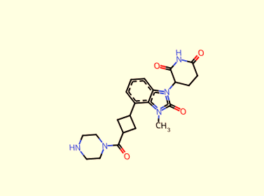 Cn1c(=O)n(C2CCC(=O)NC2=O)c2cccc(C3CC(C(=O)N4CCNCC4)C3)c21